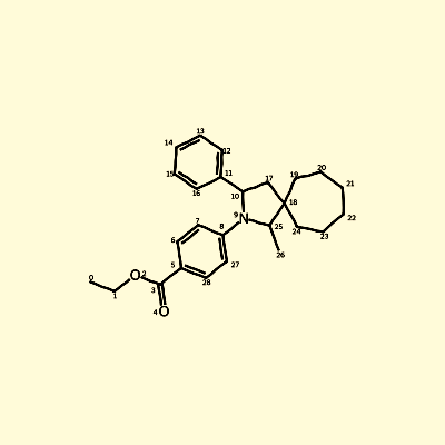 CCOC(=O)c1ccc(N2C(c3ccccc3)CC3(CCCCCC3)C2C)cc1